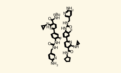 CCCCNC(=O)c1ccc(-c2ccc(NC(=O)NCc3ccc(N)nc3)c(F)c2)nc1NC1CC1.Nc1ccc(CNC(=O)Nc2ccc(-c3ccc(C(=O)NC4CCCC4)c(NC4CC4)n3)cc2F)cn1